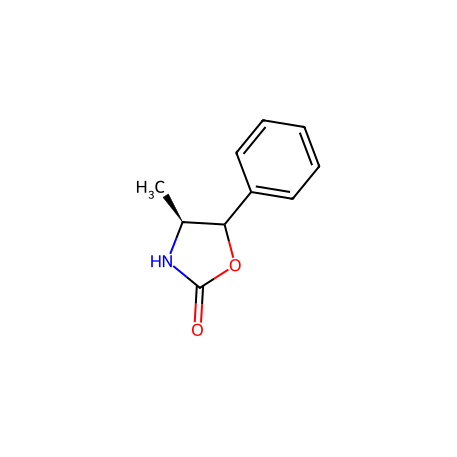 C[C@@H]1NC(=O)OC1c1ccccc1